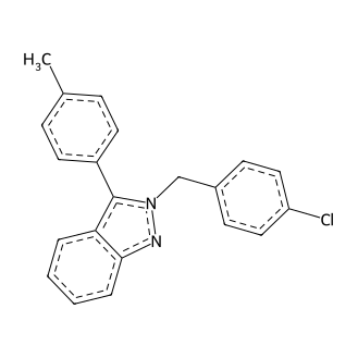 Cc1ccc(-c2c3ccccc3nn2Cc2ccc(Cl)cc2)cc1